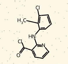 Cc1c(Cl)cccc1Nc1ncccc1C(=O)Cl